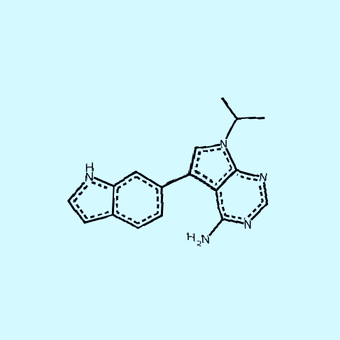 CC(C)n1cc(-c2ccc3cc[nH]c3c2)c2c(N)ncnc21